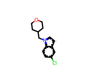 Clc1ccc2c([c]cn2CC2CCOCC2)c1